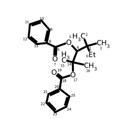 CCC(C)(C)C(OC(=O)c1ccccc1)C(C)(C)OC(=O)c1ccccc1